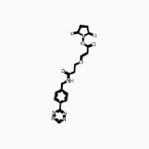 O=C(CCOCCC(=O)ON1C(=O)CCC1=O)NCc1ccc(-c2nncnn2)cc1